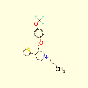 CCCCN1CCC(c2cccs2)C(COc2ccc(OC(F)(F)F)cc2)C1